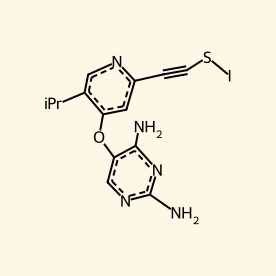 CC(C)c1cnc(C#CSI)cc1Oc1cnc(N)nc1N